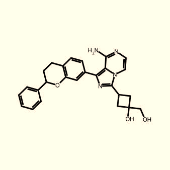 Nc1nccn2c(C3CC(O)(CO)C3)nc(-c3ccc4c(c3)OC(c3ccccc3)CC4)c12